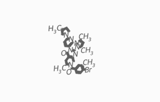 Cc1cc(C)n(-c2nc3c(c(=O)n2-c2ccc(N4CC[C@@H](C)C4)nc2)C[C@@H](C)N(C(=O)c2ccc(Br)c(C)c2)C3)n1